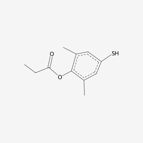 CCC(=O)Oc1c(C)cc(S)cc1C